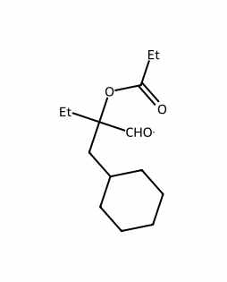 CCC(=O)OC([C]=O)(CC)CC1CCCCC1